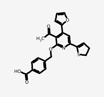 CC(=O)c1c(-c2ccco2)cc(C2=CCCS2)nc1OCc1ccc(C(=O)O)cc1